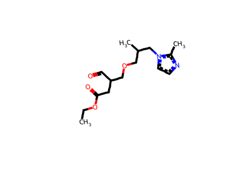 CCOC(=O)CC(C=O)COCC(C)Cn1ccnc1C